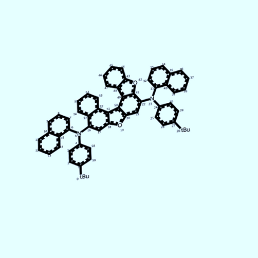 CC(C)(C)c1ccc(N(c2cccc3ccccc23)c2cc3oc4cc(N(c5ccc(C(C)(C)C)cc5)c5cccc6ccccc56)c5oc6ccccc6c5c4c3c3ccccc23)cc1